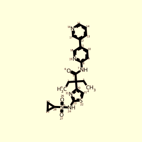 CCC(CC)(C(=O)Nc1ccc(-c2cccnc2)cn1)c1csc(NS(=O)(=O)C2CC2)n1